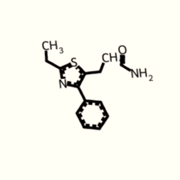 CCc1nc(-c2ccccc2)c(CC)s1.NC=O